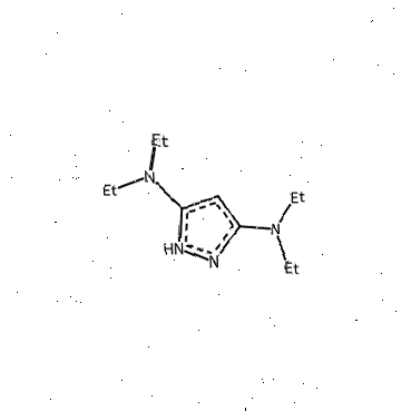 CCN(CC)c1cc(N(CC)CC)[nH]n1